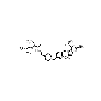 CCCCCNc1nc(N)nc2ccn(Cc3ccc(CN4CCN(CCNC(=O)[C@H](CC(=O)O)SC[C@H](N)C(=O)O)CC4)cc3C)c12